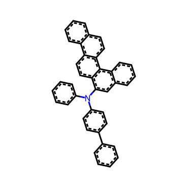 c1ccc(-c2ccc(N(c3ccccc3)c3cc4ccccc4c4c3ccc3c5ccccc5ccc34)cc2)cc1